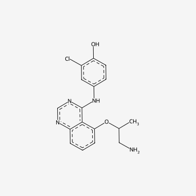 CC(CN)Oc1cccc2ncnc(Nc3ccc(O)c(Cl)c3)c12